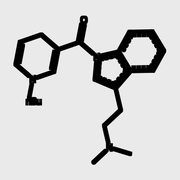 CCCCN1C=CCC(C(=O)n2cc(CCN(C)C)c3ccccc32)=C1